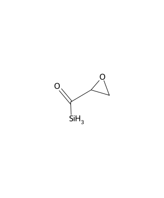 O=C([SiH3])C1CO1